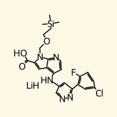 C[Si](C)(C)CCOCn1c(C(=O)O)cc2c(Nc3cnnc(-c4cc(Cl)ccc4F)c3)ccnc21.[LiH]